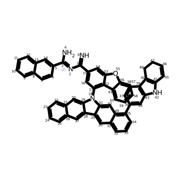 N=C(/N=C(\N)c1ccc2ccccc2c1)c1cc(-n2c3cc4ccccc4cc3c3cc4cccc(-c5ccc6c7c([nH]c6c5)C=CCC7)c4cc32)c2c(c1)oc1ccccc12